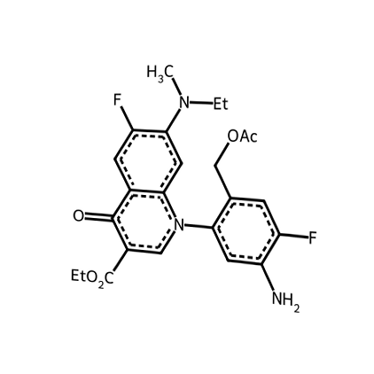 CCOC(=O)c1cn(-c2cc(N)c(F)cc2COC(C)=O)c2cc(N(C)CC)c(F)cc2c1=O